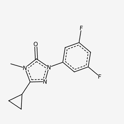 Cn1c(C2CC2)nn(-c2cc(F)cc(F)c2)c1=O